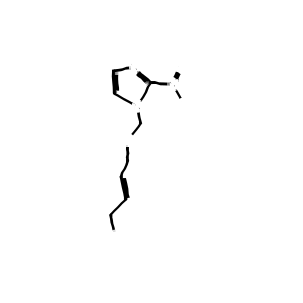 O=[N+]([O-])c1nccn1COCC=CCO